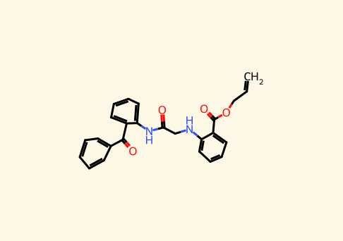 C=CCOC(=O)c1ccccc1NCC(=O)Nc1ccccc1C(=O)c1ccccc1